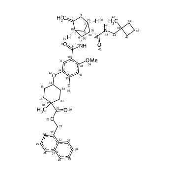 C=C1C[C@@H]2C[C@H]1[C@@H](NC(=O)c1cc(OC3CCC(C)(C(=O)OCc4cccc5ccccc45)CC3)c(F)cc1OC)[C@H]2C(=O)NCC1(C)CCC1